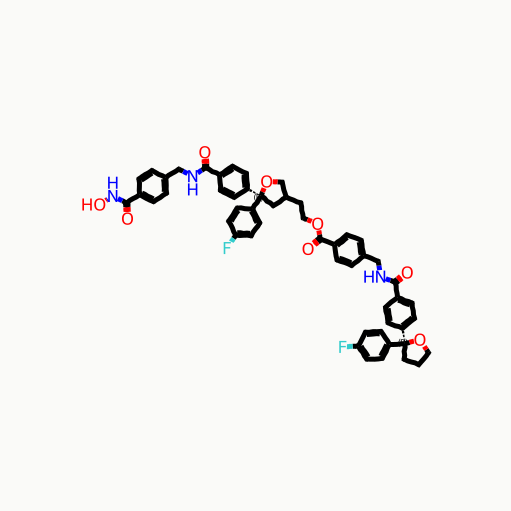 O=C(NO)c1ccc(CNC(=O)c2ccc([C@@]3(c4ccc(F)cc4)CC(CCOC(=O)c4ccc(CNC(=O)c5ccc([C@@]6(c7ccc(F)cc7)CCCO6)cc5)cc4)CO3)cc2)cc1